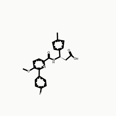 COc1ccc(C(=O)N[C@@H](CC(=O)O)c2ccc(C)cc2)nc1-c1ccc(F)cc1